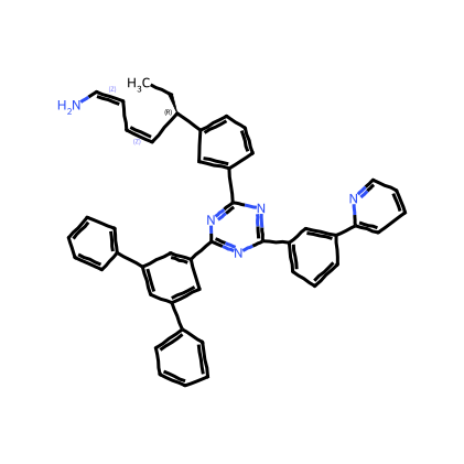 CC[C@H](/C=C\C=C/N)c1cccc(-c2nc(-c3cc(-c4ccccc4)cc(-c4ccccc4)c3)nc(-c3cccc(-c4ccccn4)c3)n2)c1